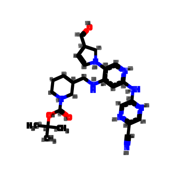 CC(C)(C)OC(=O)N1CCCC(CNc2cc(Nc3cnc(C#N)cn3)ncc2N2C=CC(C=O)C2)C1